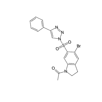 CC(=O)N1CCc2cc(Br)c(S(=O)(=O)n3cc(-c4ccccc4)nn3)cc21